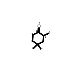 CC1CC(C)(C)CCC1=O